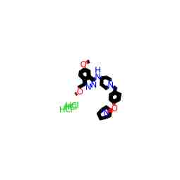 COCc1nnc(NC2CCN(Cc3ccc(OC4CC5CCC(C4)N5C)cc3)CC2)c2cc(OC)ccc12.Cl.Cl.Cl